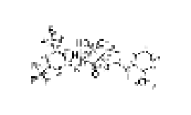 CC1COCCC1NC1CC[C@@](C(=O)NCc2cc(C(F)(F)F)cc(C(F)(F)F)c2)(C(C)(C)O)C1